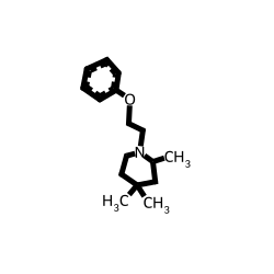 CC1CC(C)(C)CCN1CCOc1ccccc1